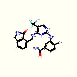 Cc1ccc(C(N)=O)cc1Nc1ncc(C(F)(F)F)c(NCc2cccc3c2C(=O)NC3)n1